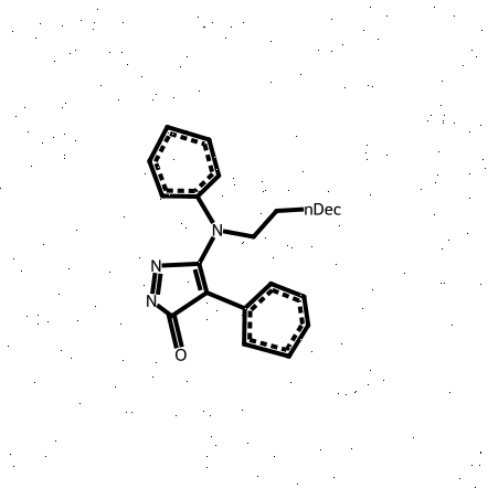 CCCCCCCCCCCCN(C1=C(c2ccccc2)C(=O)N=N1)c1ccccc1